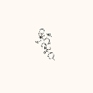 Cc1ccc(S(=O)(=O)n2ccc3c(NN4C5CCC4CC(=CC#N)C5)c([N+](=O)[O-])cnc32)cc1